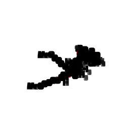 COCCOCCOCCOCCOCCOCC(=O)NCCCC[C@H](NC(=O)COCCOCCOCCOCCOCCOC)C(=O)N[C@H](C)C(=O)N[C@H](C)C(=O)N[C@H](CC(N)=O)C(=O)Nc1ccc(COC(=O)O[C@@H](C(=O)O[C@H]2C[C@@]3(O)[C@@H](OC(=O)c4ccccc4)[C@H]4[C@](C)(C(=O)[C@H](O)C(=C2C)C3(C)C)[C@@H](O)CC2OC[C@]24OC(C)=O)[C@@H](NC(=O)OC(C)(C)C)c2ccccc2)cc1